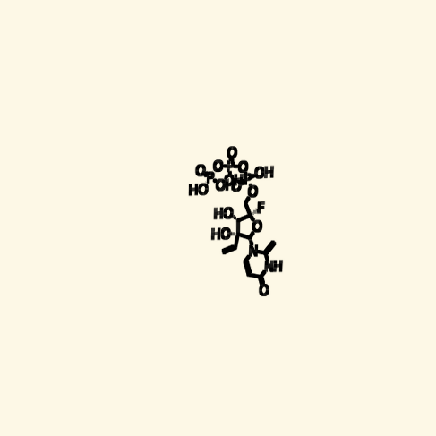 C=C[C@]1(O)[C@H](N2C=CC(=O)NC2=C)O[C@](F)(COP(=O)(O)OP(=O)(O)OP(=O)(O)O)[C@H]1O